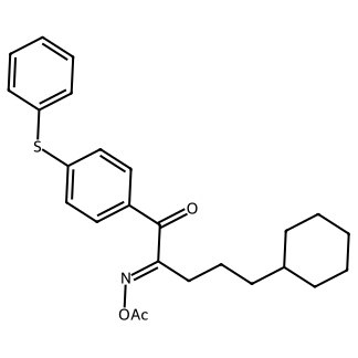 CC(=O)O/N=C(\CCCC1CCCCC1)C(=O)c1ccc(Sc2ccccc2)cc1